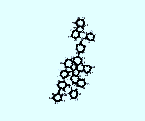 c1ccc(N(c2ccc(-c3ccc4c5c(c6ccccc6c4c3)-c3c(cc(N(c4ccccc4)c4cccc6c4sc4ccccc46)c4ccccc34)C5(c3ccccc3)c3ccccc3)cc2)c2cccc3c2sc2ccccc23)cc1